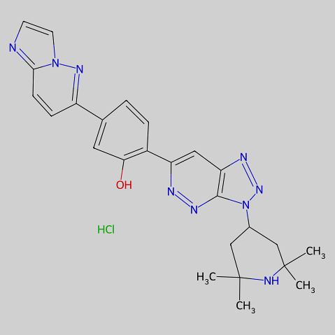 CC1(C)CC(n2nnc3cc(-c4ccc(-c5ccc6nccn6n5)cc4O)nnc32)CC(C)(C)N1.Cl